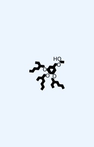 CCCCC(CC)COc1cc(COC(C)O)cc(OCC(CC)CCCC)c1OCC(CC)CCCC